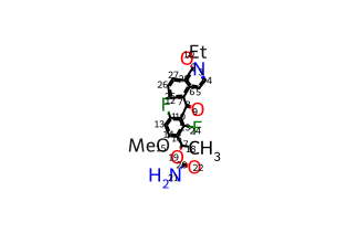 CCOc1nccc2c(C(=O)c3c(F)cc(OC)c(C(C)OC(N)=O)c3F)cccc12